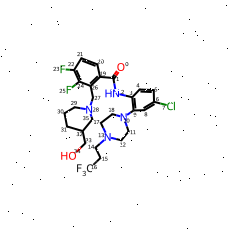 O=C(Nc1ccc(Cl)cc1N1CCN(CCC(F)(F)F)CC1)c1ccc(F)c(F)c1CN1CCCC(CO)C1